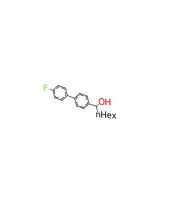 CCCCCCC(O)c1ccc(-c2ccc(F)cc2)cc1